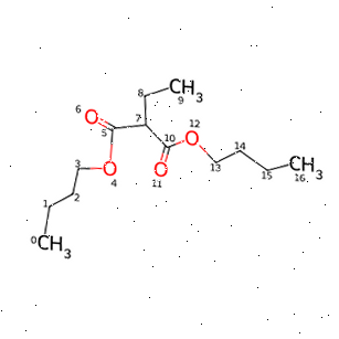 CCCCOC(=O)C(CC)C(=O)OCCCC